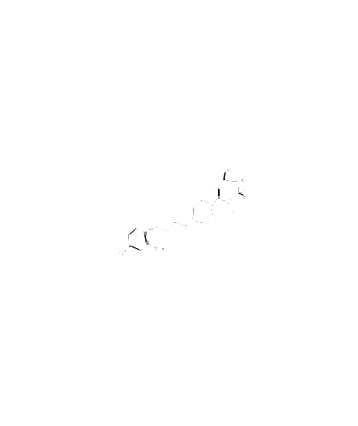 Cn1c(N2CCN(CCCOc3ccc([N+](=O)[O-])cc3O)CC2)cc(=O)n(C)c1=O